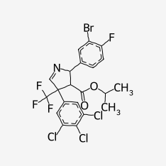 CC(C)OC(=O)C1C(c2ccc(F)c(Br)c2)N=CC1(c1cc(Cl)c(Cl)c(Cl)c1)C(F)(F)F